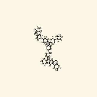 c1ccc(-c2ccc(N(c3ccc(-c4ccc(-n5c6ccccc6c6cc7c(cc65)oc5ccccc57)cc4)cc3)c3ccc(-c4ccc5oc6ccccc6c5c4)cc3)cc2)cc1